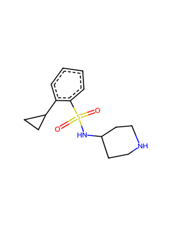 O=S(=O)(NC1CCNCC1)c1ccccc1C1CC1